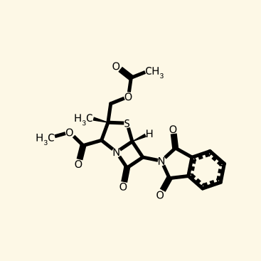 COC(=O)C1N2C(=O)C(N3C(=O)c4ccccc4C3=O)[C@H]2S[C@@]1(C)COC(C)=O